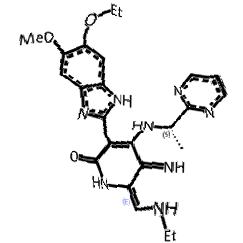 CCN/C=C1/NC(=O)C(c2nc3cc(OC)c(OCC)cc3[nH]2)=C(N[C@@H](C)c2ncccn2)C1=N